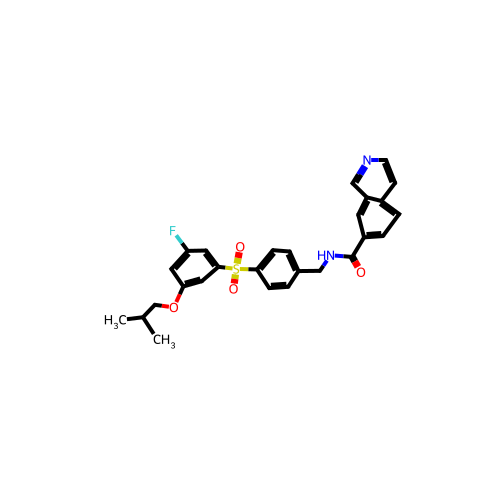 CC(C)COc1cc(F)cc(S(=O)(=O)c2ccc(CNC(=O)c3ccc4ccncc4c3)cc2)c1